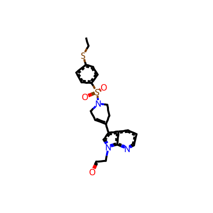 CCSc1ccc(S(=O)(=O)N2CC=C(c3cn(CC=O)c4ncccc34)CC2)cc1